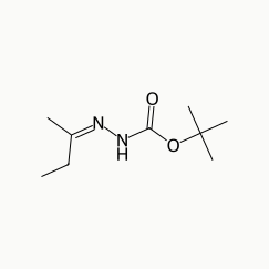 CC/C(C)=N\NC(=O)OC(C)(C)C